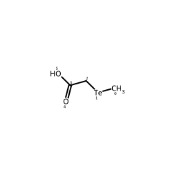 C[Te]CC(=O)O